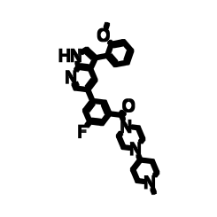 COc1ccccc1-c1c[nH]c2ncc(-c3cc(F)cc(C(=O)N4CCN(C5CCN(C)CC5)CC4)c3)cc12